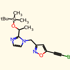 CC(O[Si](C)(C)C(C)(C)C)c1nccn1Cc1cc(C#CBr)on1